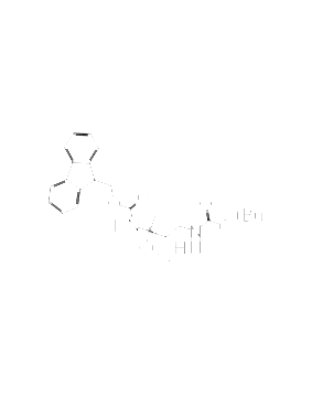 CC(C)(C)OC(=O)NCC[C@](C)(NC(=O)OCC1c2ccccc2-c2ccccc21)C(=O)O